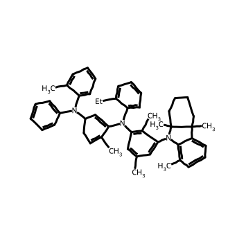 CCc1ccccc1N(C1=CC(N(c2ccccc2)c2ccccc2C)CC=C1C)c1cc(C)cc(N2c3c(C)cccc3C3(C)CCCCC23C)c1C